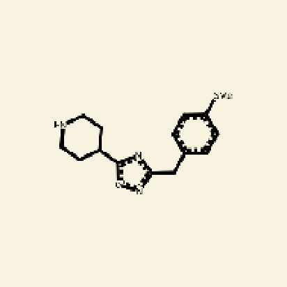 CSc1ccc(Cc2noc(C3CCNCC3)n2)cc1